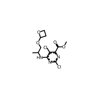 COC(=O)c1nc(Cl)nc(NC(C)COC2CCO2)c1Cl